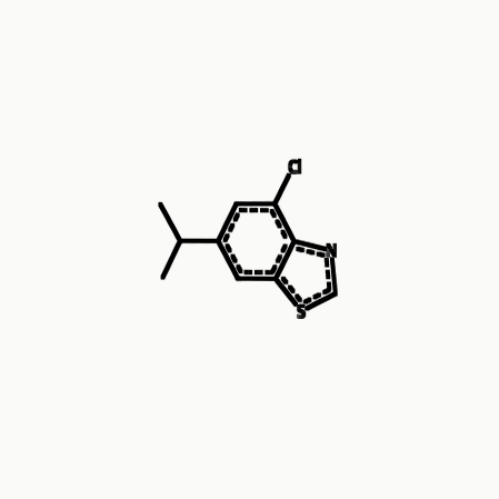 CC(C)c1cc(Cl)c2ncsc2c1